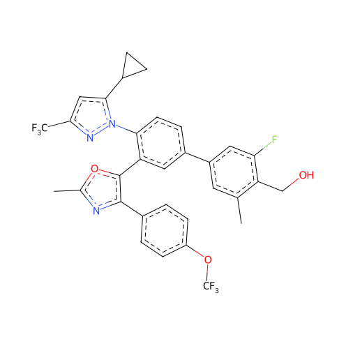 Cc1nc(-c2ccc(OC(F)(F)F)cc2)c(-c2cc(-c3cc(C)c(CO)c(F)c3)ccc2-n2nc(C(F)(F)F)cc2C2CC2)o1